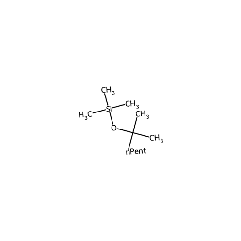 [CH2]CCCCC(C)(C)O[Si](C)(C)C